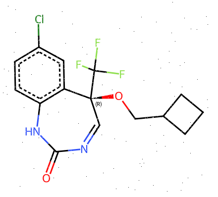 O=C1N=C[C@@](OCC2CCC2)(C(F)(F)F)c2cc(Cl)ccc2N1